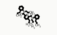 C=CCc1ccccc1N(CC=C)C(=O)c1ccc(CC=C)c(C(=O)N(CC=C)c2ccccc2CC=C)n1